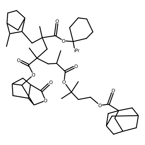 CC(CC(C)(CC(C)(CC1C2CCC(C2)C1C)C(=O)OC1(C(C)C)CCCCC1)C(=O)OC1C2CC3C(=O)OC1C3C2)C(=O)OC(C)(C)CCOC(=O)C12CC3CC(CC(C3)C1)C2